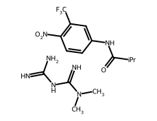 CC(C)C(=O)Nc1ccc([N+](=O)[O-])c(C(F)(F)F)c1.CN(C)C(=N)NC(=N)N